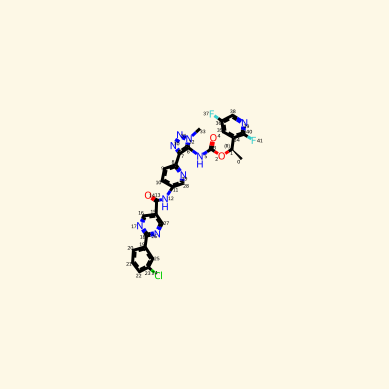 C[C@@H](OC(=O)Nc1c(-c2ccc(NC(=O)c3cnc(-c4cccc(Cl)c4)nc3)cn2)nnn1C)c1cc(F)cnc1F